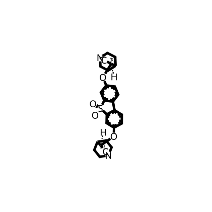 O=S1(=O)c2cc(O[C@H]3CN4CCC3CC4)ccc2-c2ccc(O[C@H]3CN4CCC3CC4)cc21